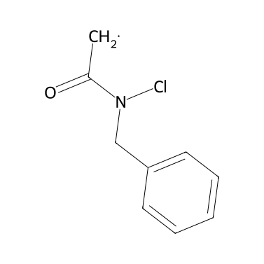 [CH2]C(=O)N(Cl)Cc1ccccc1